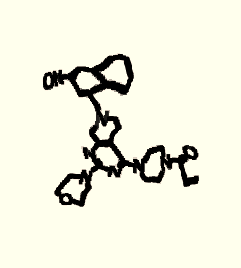 C=CC(=O)N1CCN(c2nc(N3CCOCC3)nc3c2CCN(c2cc(N=O)cc4ccccc24)C3)CC1